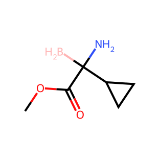 BC(N)(C(=O)OC)C1CC1